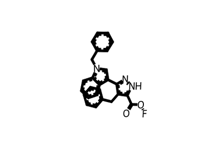 O=C(OF)c1[nH]nc(-c2cn(Cc3ccccc3)c3ccccc23)c1Cc1ccccc1